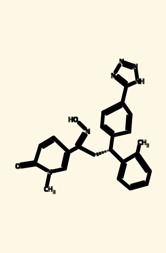 Cc1ccccc1[C@H](CC(=NO)c1ccc(=O)n(C)c1)c1ccc(-c2nnn[nH]2)cc1